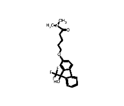 CN(C)C(=O)CCCCOc1ccc2c(c1)C(O)(C(F)(F)F)c1ccccc1-2